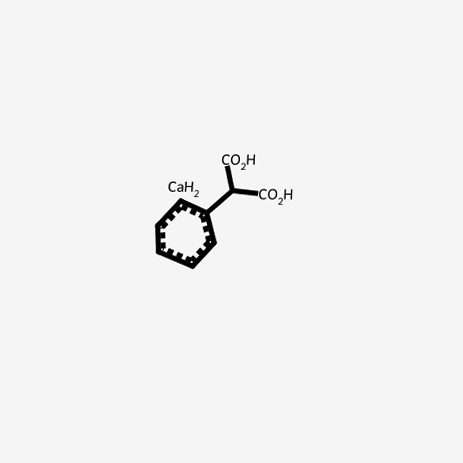 O=C(O)C(C(=O)O)c1ccccc1.[CaH2]